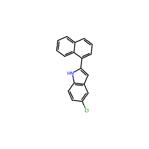 Clc1ccc2[nH]c(-c3cccc4ccccc34)cc2c1